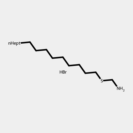 Br.CCCCCCCCCCCCCCCCSCN